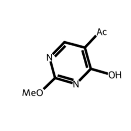 COc1ncc(C(C)=O)c(O)n1